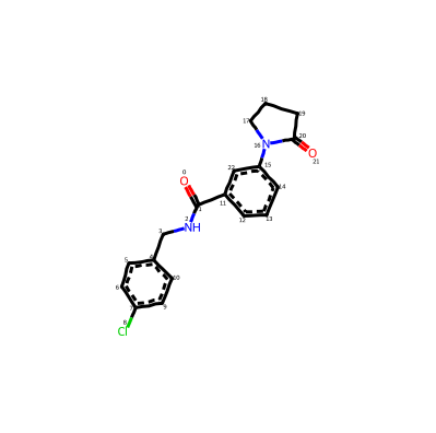 O=C(NCc1ccc(Cl)cc1)c1cccc(N2CCCC2=O)c1